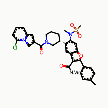 CNC(=O)c1c(-c2ccc(C)cc2)oc2cc(N(C)S(C)(=O)=O)c([C@H]3CCCN(C(=O)c4cc5cccc(Cl)n5c4)C3)cc12